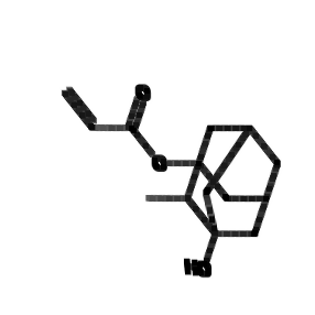 C=CC(=O)OC12CC3CC(CC(O)(C3)C1C)C2